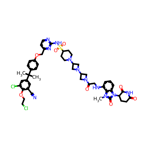 Cn1c(=O)n(C2CCC(=O)NC2=O)c2cccc(NCC(=O)N3CC(N4CC(N5CCC(S(=O)(=O)Nc6nccc(COc7ccc(C(C)(C)c8cc(Cl)c(OCCCl)c(C#N)c8)cc7)n6)CC5)C4)C3)c21